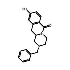 O=C1c2ccc(O)cc2CC2CN(Cc3ccccc3)CCN12